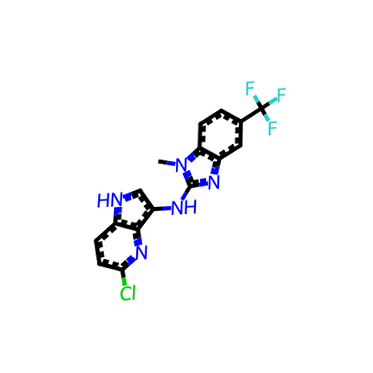 Cn1c(Nc2c[nH]c3ccc(Cl)nc23)nc2cc(C(F)(F)F)ccc21